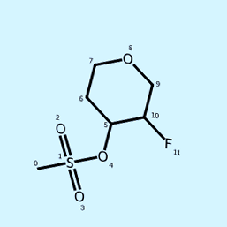 CS(=O)(=O)OC1CCOCC1F